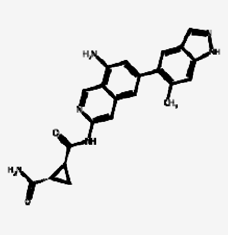 Cc1cc2[nH]ncc2cc1-c1cc(N)c2cnc(NC(=O)[C@H]3C[C@@H]3C(N)=O)cc2c1